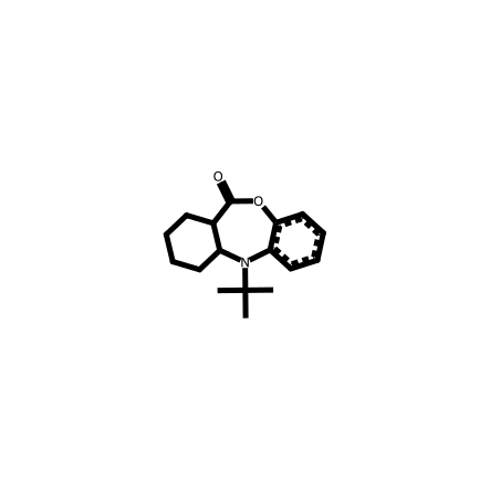 CC(C)(C)N1c2ccccc2OC(=O)C2CCCCC21